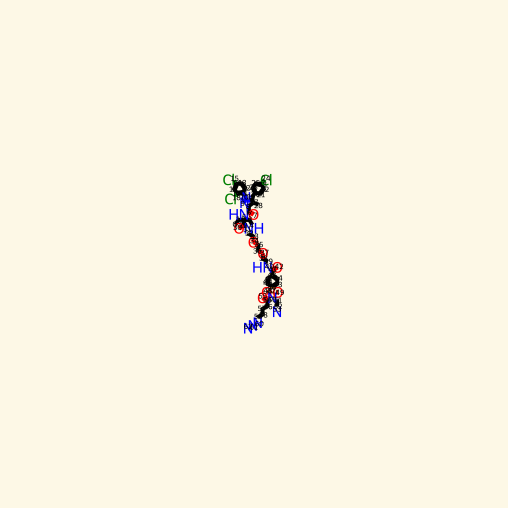 CCC(CC)(NC(=O)c1nn(-c2ccc(Cl)cc2Cl)c(-c2ccc(Cl)cc2)c1C)C(=O)NCCOCCOCCNC(=O)c1ccc(S(=O)(=O)N(CC#N)C(=O)CCCCN=[N+]=[N-])cc1